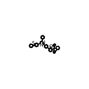 C1=CC2=C(CC1)C1(c3ccccc3Oc3c(-c4ccc(-c5nc(-c6ccccc6)cc(-c6ccc7c(c6)sc6ccccc67)n5)cc4)cccc31)c1ccccc12